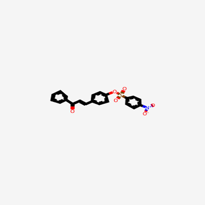 O=C(C=Cc1ccc(OS(=O)(=O)c2ccc([N+](=O)[O-])cc2)cc1)c1ccccc1